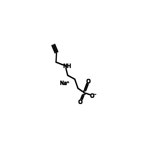 C#CCNCCCS(=O)(=O)[O-].[Na+]